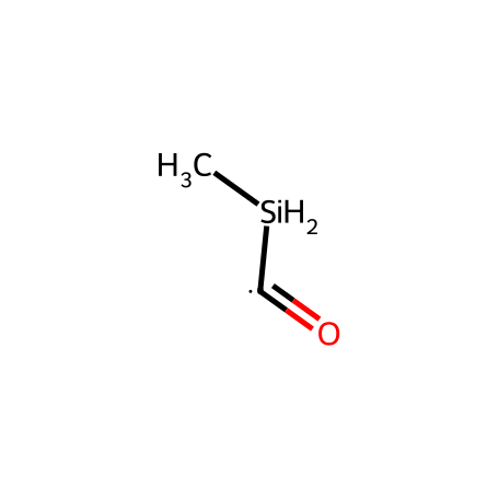 C[SiH2][C]=O